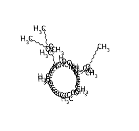 CCCCCCCCCCCOC(=O)C(C)(C)CCCCN1CCCCCCC(C)(C)C(=O)CC(CC)CCCCCCCCCCOC(=O)C(C)(C)CCCCN(CCCCCCC(C)(C)C(=O)OC(CCCCCCCC)CCCCCCCC)CCNC(=O)CC(=O)NCC1